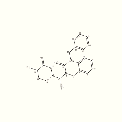 C=C1O[C@H]([C@@H](CC)N(Cc2ccccc2)C(=O)OCc2ccccc2)CCC1I